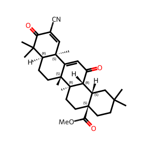 COC(=O)[C@]12CCC(C)(C)C[C@H]1[C@H]1C(=O)C=C3[C@]4(C)C=C(C#N)C(=O)C(C)(C)[C@@H]4CC[C@@]3(C)[C@]1(C)CC2